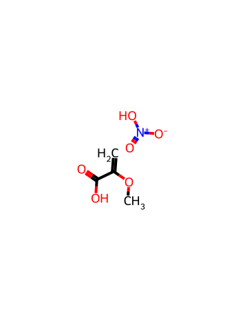 C=C(OC)C(=O)O.O=[N+]([O-])O